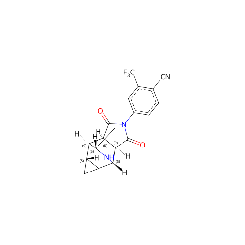 C[C@@H]1N[C@H]2C3C[C@@H]3[C@H]1[C@H]1C(=O)N(c3ccc(C#N)c(C(F)(F)F)c3)C(=O)[C@H]12